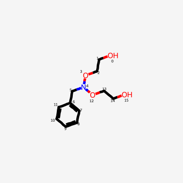 OCCON(Cc1ccccc1)OCCO